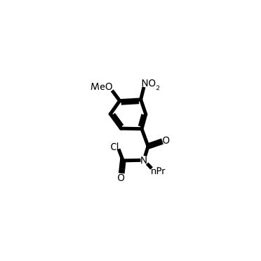 CCCN(C(=O)Cl)C(=O)c1ccc(OC)c([N+](=O)[O-])c1